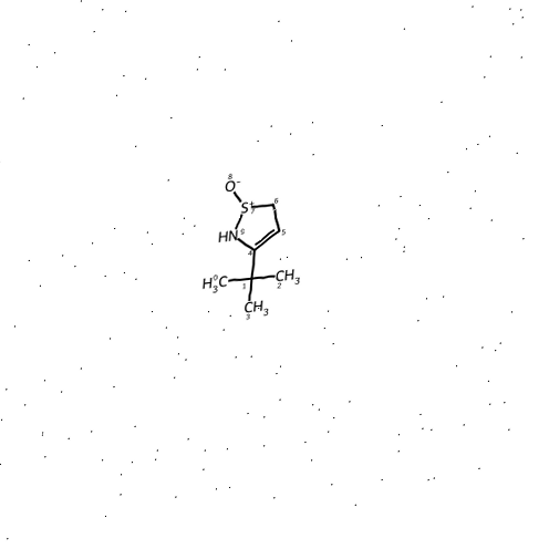 CC(C)(C)C1=CC[S+]([O-])N1